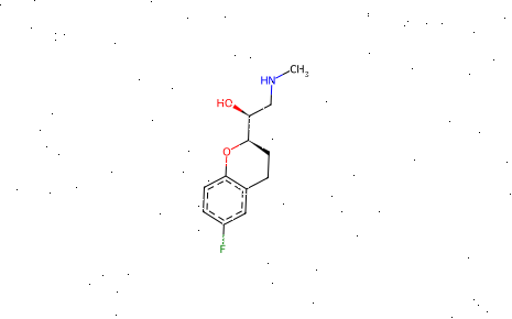 CNC[C@H](O)[C@H]1CCc2cc(F)ccc2O1